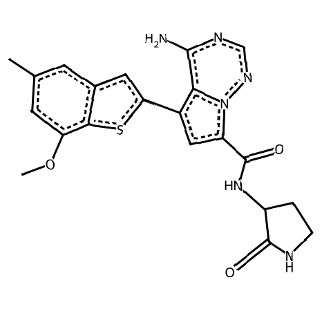 COc1cc(C)cc2cc(-c3cc(C(=O)NC4CCNC4=O)n4ncnc(N)c34)sc12